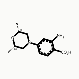 C[C@@H]1CN(c2ccc(C(=O)O)c(N)c2)C[C@H](C)O1